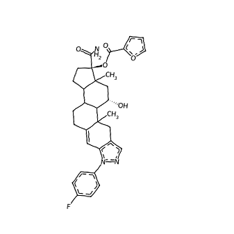 CC12Cc3cnn(-c4ccc(F)cc4)c3C=C1CCC1C2[C@@H](O)CC2(C)C1CC[C@]2(OC(=O)c1ccco1)C(N)=O